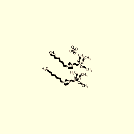 CCCCCCCC[n+]1ccn(CC[Si](OCC)(OCC)OCC)c1.CCCCCCCC[n+]1ccn(CC[Si](OCC)(OCC)OCC)c1.O=S(=O)([O-])[O-]